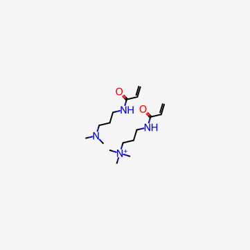 C=CC(=O)NCCCN(C)C.C=CC(=O)NCCC[N+](C)(C)C